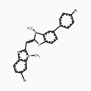 CN1/C(=C/c2sc3ccc(Br)cc3[n+]2C)Oc2ccc(-c3ccc(Br)cc3)cc21